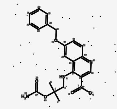 CC(C)(CNc1c([N+](=O)[O-])cnc2ccc(OCc3ccccc3)cc12)OC(N)=O